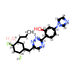 B[C@]1(CCC)C/C(=C\c2cnc(-c3ccc(-n4ccnc4)cc3O)nn2)[C@H](F)CC1F